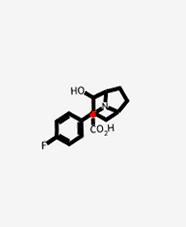 O=C(O)ON1C2CCC1C(O)C(c1ccc(F)cc1)C2